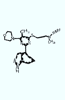 CSN(C)CCSc1nc(-c2cccc3[nH]ncc23)nc(N2CCOCC2)c1C